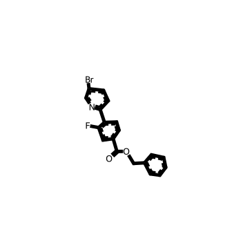 O=C(OCc1ccccc1)c1ccc(-c2ccc(Br)cn2)c(F)c1